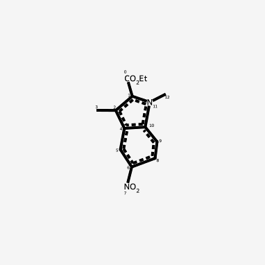 CCOC(=O)c1c(C)c2cc([N+](=O)[O-])ccc2n1C